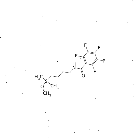 CO[Si](C)(C)CCCCNC(=O)c1c(F)c(F)c(F)c(F)c1F